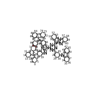 c1ccc(S(c2ccccc2)(c2ccccc2)c2ccc3nc4n(-c5nc(-c6cccc(-n7c8ccccc8c8ccccc87)c6)nc(-n6c7ccccc7n7c8ccccc8nc67)n5)c5ccc(S(c6ccccc6)(c6ccccc6)c6ccccc6)cc5n4c3c2)cc1